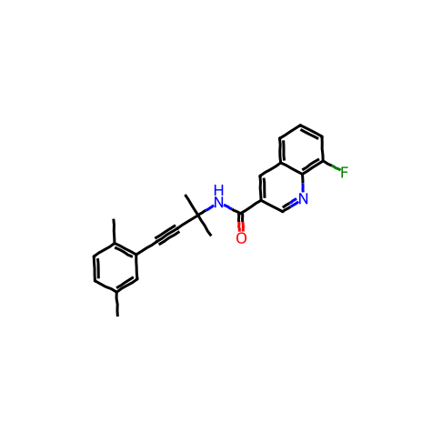 Cc1ccc(C)c(C#CC(C)(C)NC(=O)c2cnc3c(F)cccc3c2)c1